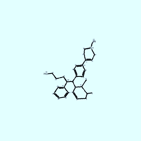 CC1CC=CC(C(c2ccc(C3=CCN(C(C)C)CC3)cc2)C(CCCO)c2ccccc2)C1C